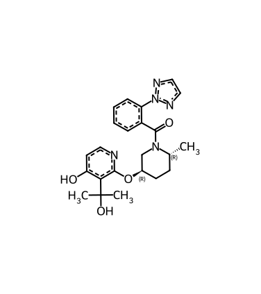 C[C@@H]1CC[C@@H](Oc2nccc(O)c2C(C)(C)O)CN1C(=O)c1ccccc1-n1nccn1